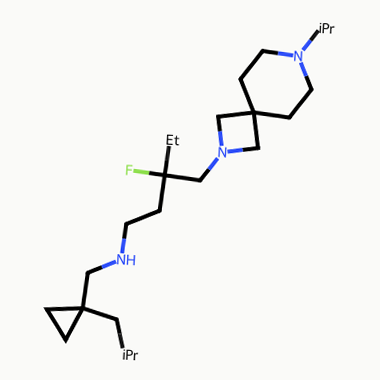 CCC(F)(CCNCC1(CC(C)C)CC1)CN1CC2(CCN(C(C)C)CC2)C1